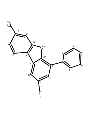 Fc1cc(-c2ccccc2)c2oc3cc(Cl)ccc3c2c1